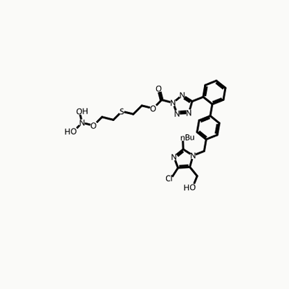 CCCCc1nc(Cl)c(CO)n1Cc1ccc(-c2ccccc2-c2nnn(C(=O)OCCSCCON(O)O)n2)cc1